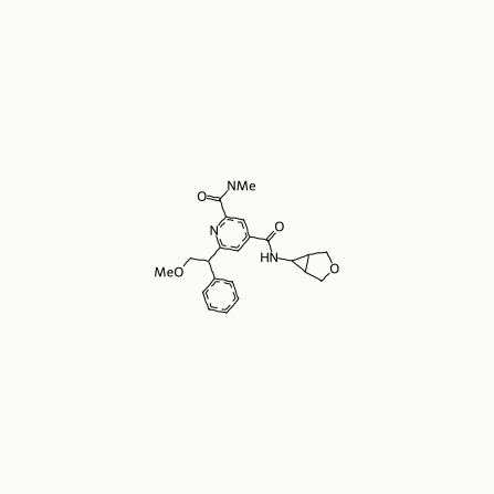 CNC(=O)c1cc(C(=O)NC2C3COCC32)cc(C(COC)c2ccccc2)n1